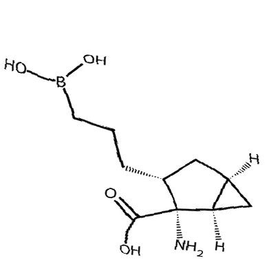 N[C@]1(C(=O)O)[C@H](CCCB(O)O)C[C@H]2C[C@H]21